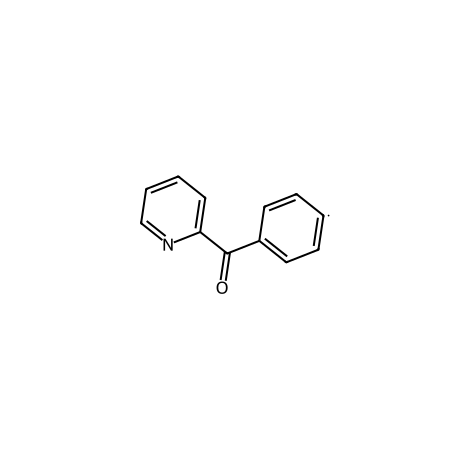 O=C(c1cc[c]cc1)c1ccccn1